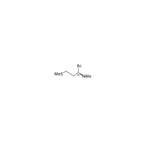 CN[C@@H](CCSC)C(C)=O